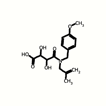 C=C(C)CN(Cc1ccc(OC)cc1)C(=O)C(O)C(O)C(=O)O